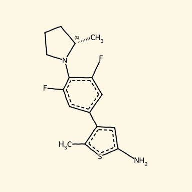 Cc1sc(N)cc1-c1cc(F)c(N2CCC[C@@H]2C)c(F)c1